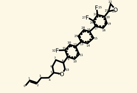 C/C=C/CCC1CCC(c2ccc(-c3ccc(-c4ccc(C5CO5)c(F)c4F)cc3)cc2F)CO1